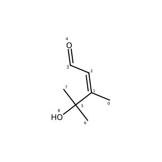 CC(=C[C]=O)C(C)(C)O